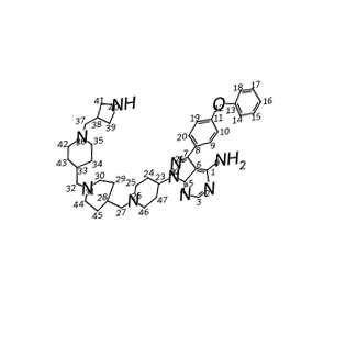 Nc1ncnc2c1c(-c1ccc(Oc3ccccc3)cc1)nn2C1CCN(CC2CCN(CC3CCN(CC4CNC4)CC3)CC2)CC1